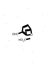 CC(=O)O.O=Cc1ccc2cc1O2